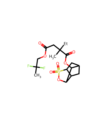 CCC(C)(CC(=O)OCC(C)(F)F)C(=O)OC1C2CC3C1OS(=O)(=O)C3C2